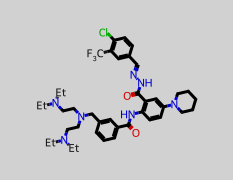 CCN(CC)CCN(CCN(CC)CC)Cc1cccc(C(=O)Nc2ccc(N3CCCCC3)cc2C(=O)NN=Cc2ccc(Cl)c(C(F)(F)F)c2)c1